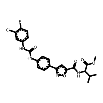 COC(=O)C(NC(=O)c1cc(-c2ccc(NC(=O)Nc3ccc(F)c(Cl)c3)cc2)no1)C(C)C